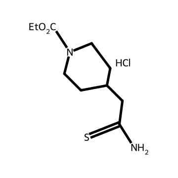 CCOC(=O)N1CCC(CC(N)=S)CC1.Cl